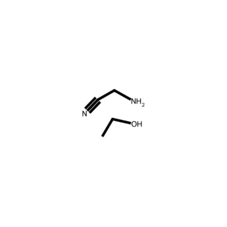 CCO.N#CCN